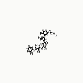 COc1cc(-c2cc(C(=O)N3CCC(C(=O)NCc4nccnc4Cl)CC34CC4)n[nH]2)c(F)cn1